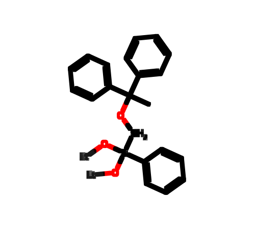 CCO[Si](OCC)([SiH2]OC(C)(c1ccccc1)c1ccccc1)c1ccccc1